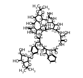 CCC(c1ccccc1)C1NC(=O)CNC(=O)C(CO)NC(=O)C(C(O)C2CN(C3OC(CO)C(O)C4OC(C)(C)OC43)C(=N)N2)NC(=O)C(C(O)C2CNC(=N)N2)NC(=O)C(Cc2ccc(OC3OC(CO)C(O)C4OC(C)(C)OC34)cc2)NC1=O